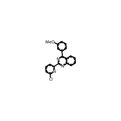 COc1cccc(-c2nc(-c3cccc(Cl)n3)nc3ccccc23)c1